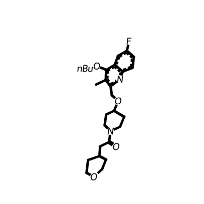 CCCCOc1c(C)c(COC2CCN(C(=O)CC3CCOCC3)CC2)nc2ccc(F)cc12